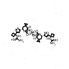 N=C(N)NC1(c2cc([C@@H]3CC4(CC4)[C@@H]4CN3C(=O)N4OS(=O)(=O)ON3C(=O)N4C[C@H]3C3(CC3)C[C@H]4c3cc(C4(NC(=N)N)CCC4)on3)no2)CCC1